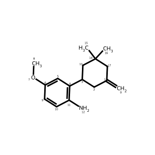 C=C1CC(c2cc(OC)ccc2N)CC(C)(C)C1